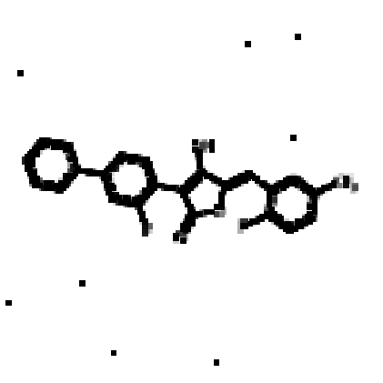 O=C1OC(=Cc2cc(C(F)(F)F)ccc2F)C(O)=C1c1ccc(-c2ccccc2)cc1F